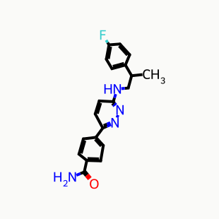 CC(CNc1ccc(-c2ccc(C(N)=O)cc2)nn1)c1ccc(F)cc1